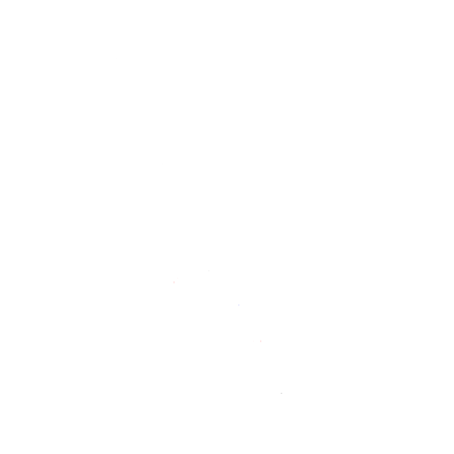 C=C(C(C)C)C(CC)O/C(C)=C/C(=O)CCCCCCCCC